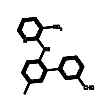 Cc1ccc(Nc2ncccc2[N+](=O)[O-])c(-c2cccc(C=O)c2)c1